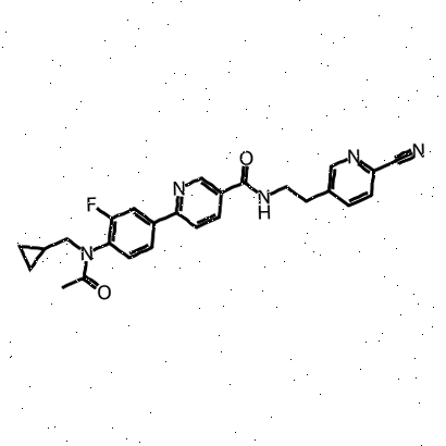 CC(=O)N(CC1CC1)c1ccc(-c2ccc(C(=O)NCCc3ccc(C#N)nc3)cn2)cc1F